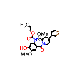 C=CCOC(=O)N1c2cc(O)c(OC)cc2C(=O)N2CC=C(c3ccsc3)C[C@H]2[C@@H]1OC